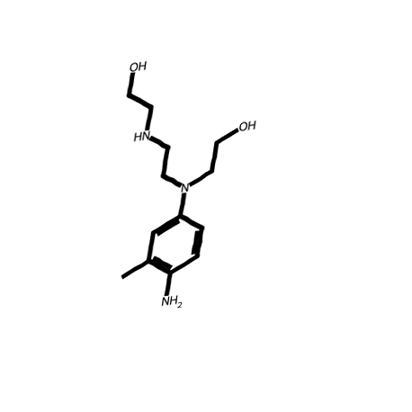 Cc1cc(N(CCO)CCNCCO)ccc1N